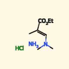 CCOC(=O)C(C)=CN(C)C.Cl.N